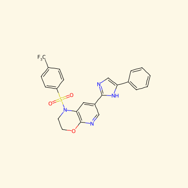 O=S(=O)(c1ccc(C(F)(F)F)cc1)N1CCOc2ncc(-c3ncc(-c4ccccc4)[nH]3)cc21